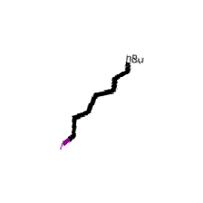 [CH2]CCCCCCCCCCI